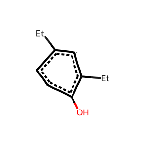 CCc1[c]c(CC)c(O)cc1